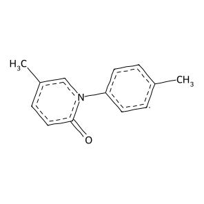 Cc1[c]cc(-n2cc(C)ccc2=O)cc1